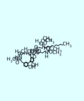 CCCCCCCCCCN(CCS(=O)(=O)N[C@@H](CCCCNC(=O)OC(C)(C)C)C(=O)N(C)[C@@H]1C(=O)N[C@@H](C)C(=O)N[C@H](C(=O)OC)Cc2ccc(O)c(c2)-c2cc1ccc2O)C(=O)OC(C)(C)C